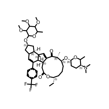 CC[C@H]1CCC[C@H](O[C@H]2CC[C@H](N(C)C)C(C)O2)[C@@H](C)C(=O)C2=C[C@@H]3C(C(c4ccc(C(F)(F)F)cc4)=CC4C[C@@H](OC5OC(C)C(OC)C(OC)C5OC)C[C@H]43)[C@@H]2CC(=O)O1